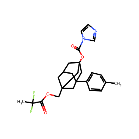 Cc1ccc(C23CC4CC(COC(=O)C(C)(F)F)(CC(OC(=O)n5ccnc5)(C4)C2)C3)cc1